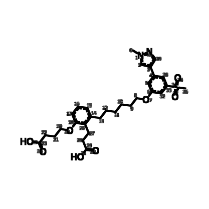 Cn1cc(-c2cc(OCCCCCCc3cccc(OCCCC(=O)O)c3CCC(=O)O)cc(S(C)(=O)=O)c2)cn1